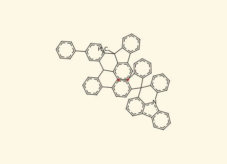 CC12c3ccccc3-c3cccc(c31)C(c1ccccc1-c1ccc3c(c1)-c1ccccc1C31c3ccccc3-n3c4ccccc4c4cccc1c43)c1cc(-c3ccccc3)ccc12